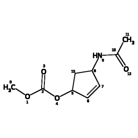 COC(=O)OC1C=CC(NC(C)=O)C1